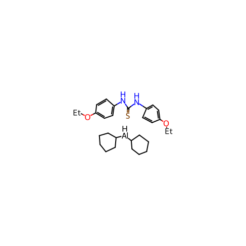 C1CC[CH]([AlH][CH]2CCCCC2)CC1.CCOc1ccc(NC(=S)Nc2ccc(OCC)cc2)cc1